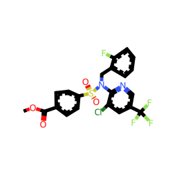 COC(=O)c1ccc(S(=O)(=O)N(Cc2ccccc2F)c2ncc(C(F)(F)F)cc2Cl)cc1